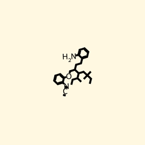 C=C=Nc1ccccc1OCC(CCc1ccccc1N)C(CC(C)(C)CC)C(C)CC